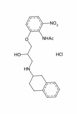 CC(=O)Nc1c(OCC(O)CNC2CCc3ccccc3C2)cccc1[N+](=O)[O-].Cl